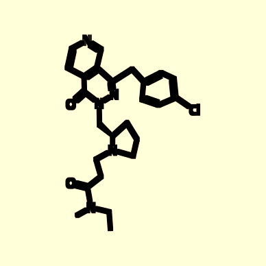 CCN(C)C(=O)CCN1CCC[C@@H]1Cn1nc(Cc2ccc(Cl)cc2)c2cnccc2c1=O